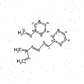 C=CC(=C)C=CC=Cc1ccccc1.C=Cc1ccccc1